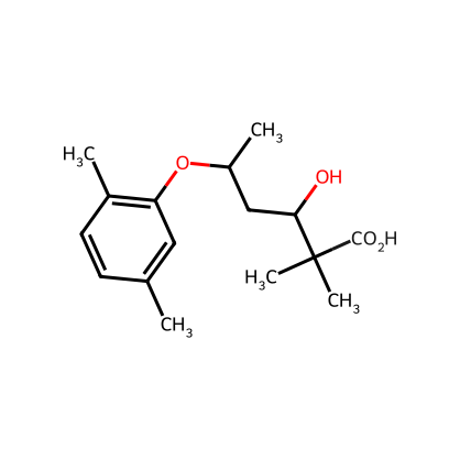 Cc1ccc(C)c(OC(C)CC(O)C(C)(C)C(=O)O)c1